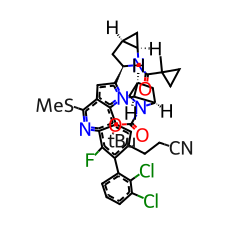 CSc1nc2c(F)c(-c3cccc(Cl)c3Cl)c(CCC#N)cc2c2c1cc([C@H]1C[C@H]3C[C@H]3N1C(=O)C1(C)CC1)n2[C@H]1[C@@H]2C[C@H]1N(C(=O)OC(C)(C)C)C2